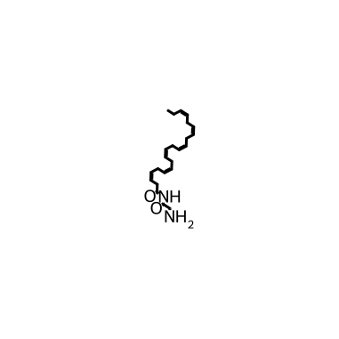 CC/C=C\C/C=C\C/C=C\C/C=C\C/C=C\C/C=C\CC(=O)NC(=O)CN